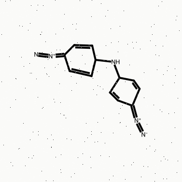 [N-]=[N+]=C1C=CC(NC2C=CC(=[N+]=[N-])C=C2)C=C1